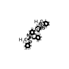 Cc1ccccc1S(=O)(=O)N1CCN(c2ccc3nc(C(C)Oc4ccccc4)n(Cc4ccccc4)c3c2)CC1